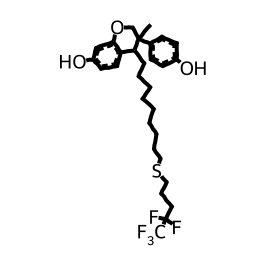 CC1(c2ccc(O)cc2)COc2cc(O)ccc2C1CCCCCCCCCSCCCC(F)(F)C(F)(F)F